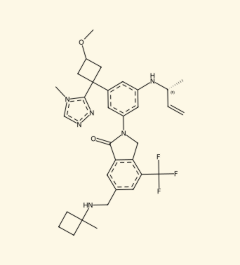 C=C[C@@H](C)Nc1cc(N2Cc3c(cc(CNC4(C)CCC4)cc3C(F)(F)F)C2=O)cc(C2(c3nncn3C)CC(OC)C2)c1